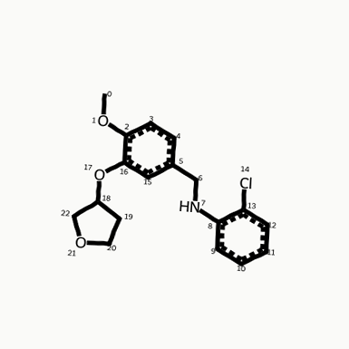 COc1ccc(CNc2ccccc2Cl)cc1OC1CCOC1